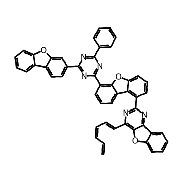 C=C/C=C\C=C\c1nc(-c2cccc3oc4c(-c5nc(-c6ccccc6)nc(-c6ccc7c(c6)oc6ccccc67)n5)cccc4c23)nc2c1oc1ccccc12